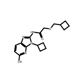 N#Cc1ccc2nc(NC(=O)COCC3CCC3)n(C3CCC3)c2n1